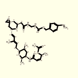 CNc1ccc(COC(=O)NCNC(=O)C[C@@H]2C[C@@]3(CO3)C[C@@H](/C=C/C(C)=C/C[C@@H]3O[C@H](C)[C@H](NC(=O)/C=C\[C@H](C)OC(C)=O)C[C@@H]3C)O2)cc1